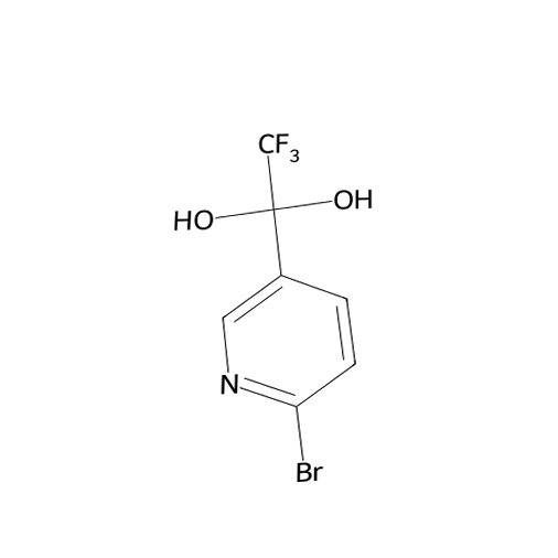 OC(O)(c1ccc(Br)nc1)C(F)(F)F